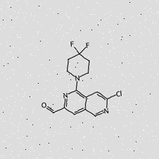 O=Cc1cc2cnc(Cl)cc2c(N2CCC(F)(F)CC2)n1